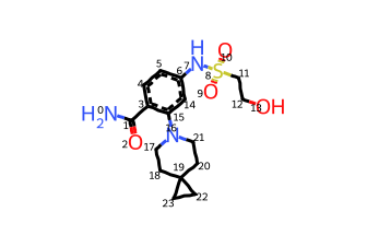 NC(=O)c1ccc(NS(=O)(=O)CCO)cc1N1CCC2(CC1)CC2